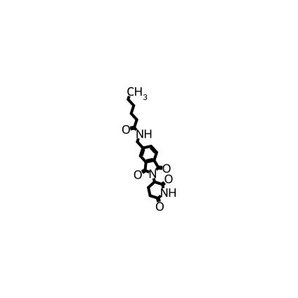 CCCCCC(=O)NCc1ccc2c(c1)C(=O)N(C1CCC(=O)NC1=O)C2=O